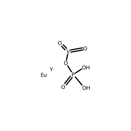 [Eu].[O]=[V](=[O])[O]P(=O)(O)O.[Y]